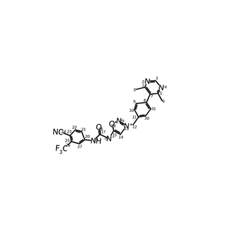 Cc1ncnc(C)c1-c1ccc(C[n+]2cc([N-]C(=O)Nc3ccc(C#N)c(C(F)(F)F)c3)on2)cc1